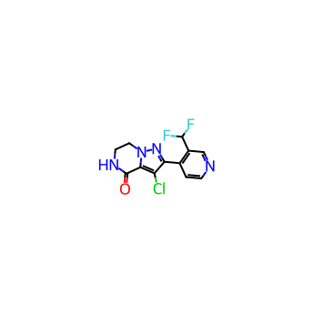 O=C1NCCn2nc(-c3ccncc3C(F)F)c(Cl)c21